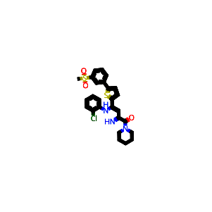 CS(=O)(=O)c1cccc(-c2ccc(/C(=C/C(=N)C(=O)N3CCCCC3)Nc3ccccc3Cl)s2)c1